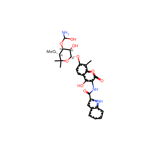 CO[C@@H]1[C@@H](OC(N)O)[C@@H](O)[C@H](Oc2ccc3c(O)c(NC(=O)c4cc5ccccc5[nH]4)c(=O)oc3c2C)OC1(C)C